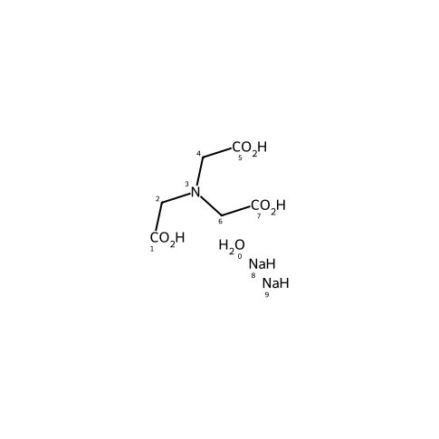 O.O=C(O)CN(CC(=O)O)CC(=O)O.[NaH].[NaH]